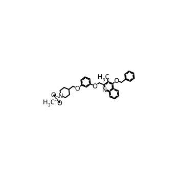 Cc1c(COc2cccc(OCC3CCN(S(C)(=O)=O)CC3)c2)nc2ccccc2c1OCc1ccccc1